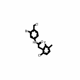 Cc1ccc(Cl)c(CC(=O)Nc2ccc(CCl)c(Br)c2)c1F